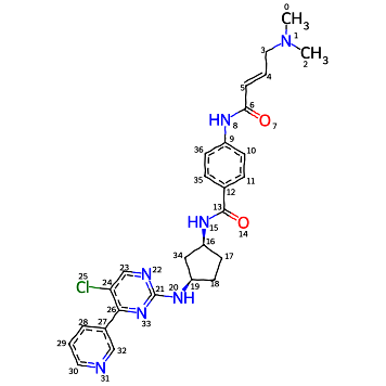 CN(C)CC=CC(=O)Nc1ccc(C(=O)N[C@H]2CC[C@@H](Nc3ncc(Cl)c(-c4cccnc4)n3)C2)cc1